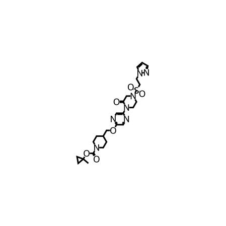 CC1(OC(=O)N2CCC(COc3cnc(N4CCN(S(=O)(=O)CCn5cccn5)CC4=O)cn3)CC2)CC1